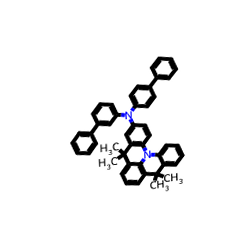 CC1(C)c2ccccc2N2c3ccc(N(c4ccc(-c5ccccc5)cc4)c4cccc(-c5ccccc5)c4)cc3C(C)(C)c3cccc1c32